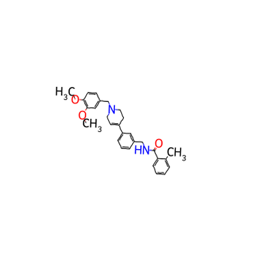 COc1ccc(CN2CC=C(c3cccc(CNC(=O)c4ccccc4C)c3)CC2)cc1OC